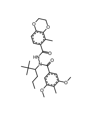 CCCC(N(NC(=O)c1ccc2c(c1C)OCCO2)C(=O)c1cc(OC)c(C)c(OC)c1)C(C)(C)C